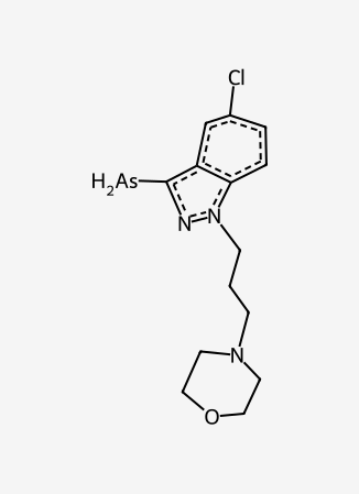 Clc1ccc2c(c1)c([AsH2])nn2CCCN1CCOCC1